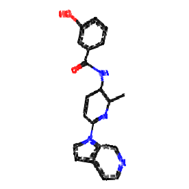 CC1N=C(n2ccc3ccncc32)C=CC1NC(=O)c1cccc(O)c1